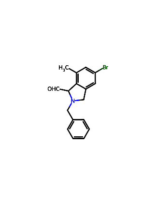 Cc1cc(Br)cc2c1C(C=O)N(Cc1ccccc1)C2